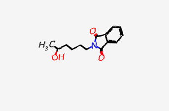 CC(O)CCCCN1C(=O)c2ccccc2C1=O